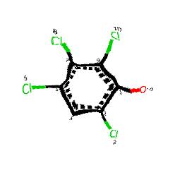 [O]c1c(Cl)cc(Cl)c(Cl)c1Cl